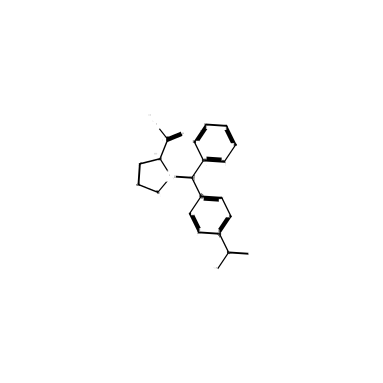 CC(C)c1ccc(C(c2ccccc2)N2CCCC2C(N)=O)cc1